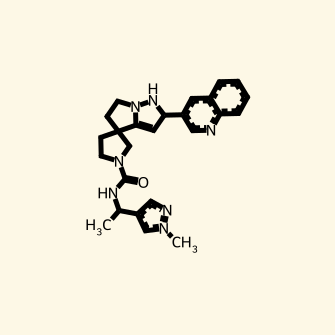 CC(NC(=O)N1CCC2(CCN3NC(c4cnc5ccccc5c4)C=C32)C1)c1cnn(C)c1